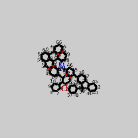 CC1CC=c2oc3ccccc3c2=C1c1ccccc1N(c1ccc(-c2ccc3c(c2)C(C)(c2ccccc2)c2ccccc2-3)cc1)c1ccccc1-c1cccc2cccc(-c3ccccc3)c12